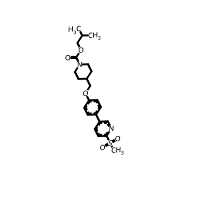 CC(C)COC(=O)N1CCC(COc2ccc(-c3ccc(S(C)(=O)=O)nc3)cc2)CC1